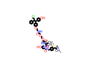 Cc1ncsc1-c1ccc(CNC(=O)[C@@H]2C[C@@H](O)CN2C(=O)[C@@H](NC(=O)COCCOCC(=O)NCCOc2ccc(C(=C(CCCl)c3ccccc3)c3ccc(O)cc3)cc2)C(C)(C)C)cc1